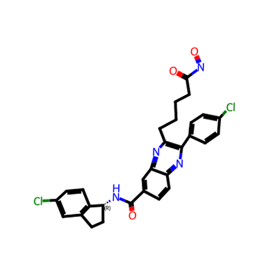 O=NC(=O)CCCCc1nc2cc(C(=O)N[C@@H]3CCc4cc(Cl)ccc43)ccc2nc1-c1ccc(Cl)cc1